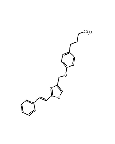 CCOC(=O)CCCc1ccc(OCc2coc(C=Cc3ccccc3)n2)cc1